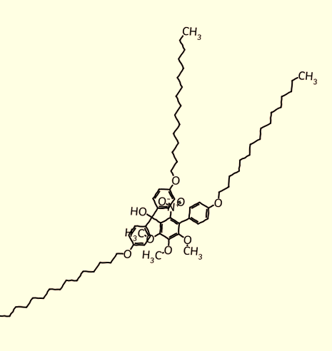 CCCCCCCCCCCCCCCCOc1ccc(-c2c(OC)c(OC)c(OC)c(C(O)(c3ccc(OCCCCCCCCCCCCCCCC)cc3)c3ccc(OCCCCCCCCCCCCCCCC)cc3)c2[N+](=O)[O-])cc1